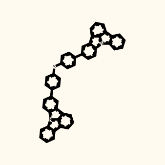 c1ccc2c(c1)c1cccc3c4cc(-c5ccc(Sc6ccc(-c7ccc8c(c7)c7cccc9c%10ccccc%10n8c97)cc6)cc5)ccc4n2c13